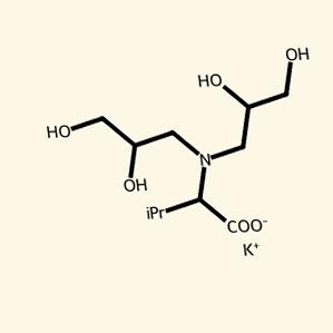 CC(C)C(C(=O)[O-])N(CC(O)CO)CC(O)CO.[K+]